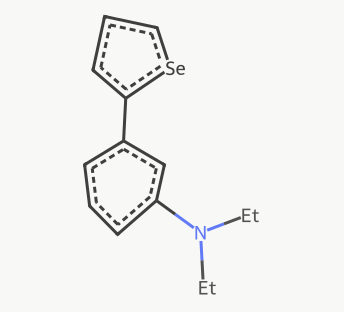 CCN(CC)c1cccc(-c2ccc[se]2)c1